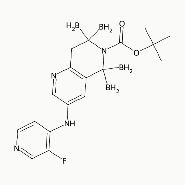 BC1(B)Cc2ncc(Nc3ccncc3F)cc2C(B)(B)N1C(=O)OC(C)(C)C